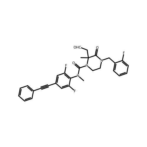 CN(C(=O)N1CCN(Cc2ccccc2F)C(=O)C1(C)CC=O)c1c(F)cc(C#Cc2ccccc2)cc1F